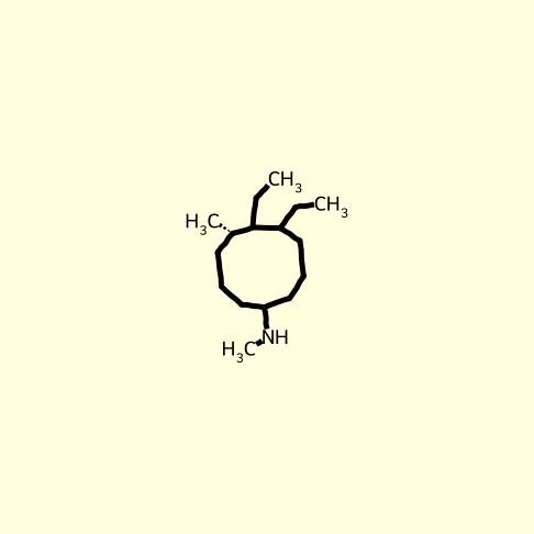 CCC1CCCC(NC)CCC[C@H](C)C1CC